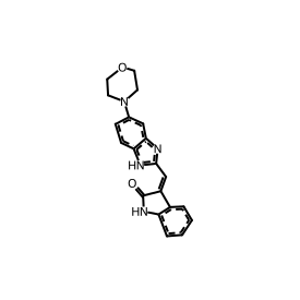 O=C1Nc2ccccc2C1=Cc1nc2cc(N3CCOCC3)ccc2[nH]1